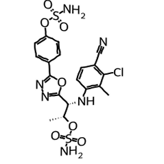 Cc1c(N[C@@H](c2nnc(-c3ccc(OS(N)(=O)=O)cc3)o2)[C@@H](C)OS(N)(=O)=O)ccc(C#N)c1Cl